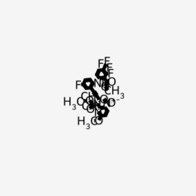 COC(=O)c1c(Nc2ccc(F)cc2C#CCN(C(=O)OC(C)(C)C)c2nc(OC)ccc2[N+](=O)[O-])ccc(C(F)(F)F)c1F